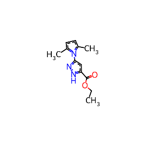 CCOC(=O)c1cc(-n2c(C)ccc2C)n[nH]1